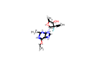 C#C[C@@]1(F)[C@H](O)C(=C)O[C@H]1n1cnc2c(OCC)nc(C)nc21